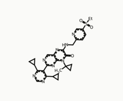 CCS(=O)(=O)c1ccc(CNc2nc3cnc(-c4c(C5CC5)ncnc4C4CC4)nc3n(C3(C)CC3)c2=O)nc1